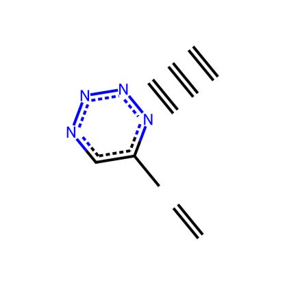 C=C.C=C.C=C.C=C.Cc1cnnnn1